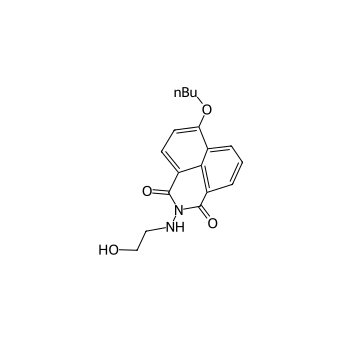 CCCCOc1ccc2c3c(cccc13)C(=O)N(NCCO)C2=O